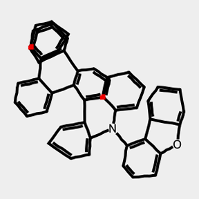 c1ccc(-c2ccccc2-c2c(-c3ccccc3)cccc2-c2ccccc2N(c2ccccc2)c2cccc3oc4ccccc4c23)cc1